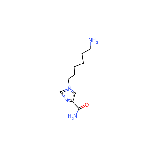 NCCCCCCn1cnc(C(N)=O)c1